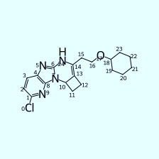 Clc1ccc2nc3n(c2n1)C1CCC1=C(CCOC1CCCCC1)N3